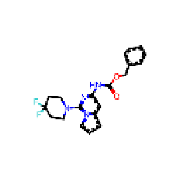 O=C(Nc1cc2cccn2c(N2CCC(F)(F)CC2)n1)OCc1ccccc1